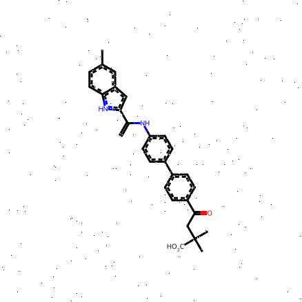 C=C(Nc1ccc(-c2ccc(C(=O)CC(C)(C)C(=O)O)cc2)cc1)c1cc2cc(C)ccc2[nH]1